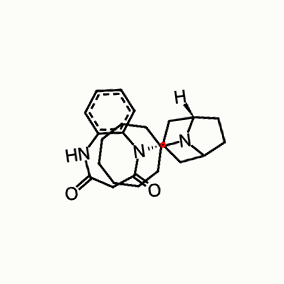 O=C1CC(=O)N([C@H]2CC3CC[C@@H](C2)N3C2CCCCCCC2)c2ccccc2N1